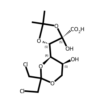 CC1(C)O[C@@H]([C@@H]2OC(CCl)(CCl)OC[C@@H]2O)[C@@](O)(C(=O)O)O1